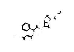 COC(=O)C=C(C)NC(C(=O)N[C@@H]1C(=O)N2[C@@H]1SC(C)(C)[C@@H]2C(=O)OCI)c1ccccc1